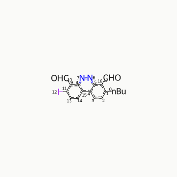 CCCCc1ccc2c(nnc3c(C=O)c(I)ccc32)c1C=O